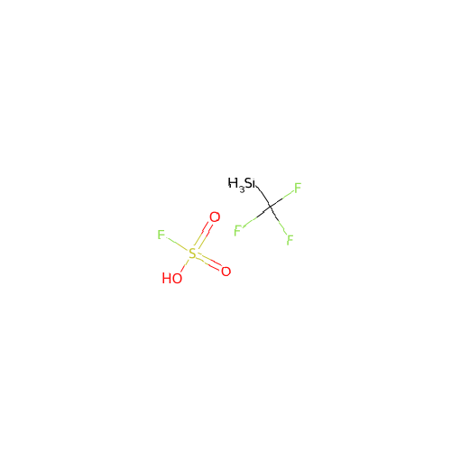 FC(F)(F)[SiH3].O=S(=O)(O)F